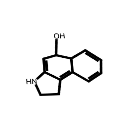 OC1C=C2NCCC2=C2C=CC=CC21